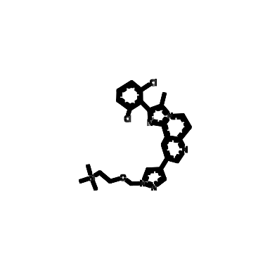 Cc1c(-c2c(Cl)cccc2Cl)nc2c3cc(-c4cnn(COCC[Si](C)(C)C)c4)cnc3ccn12